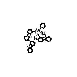 c1ccc(C2=NC(c3cccc4c3sc3c(-c5cccc6c5oc5ccccc56)cccc34)NC(c3cccc4c3oc3ccccc34)N2)cc1